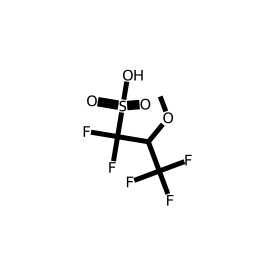 COC(C(F)(F)F)C(F)(F)S(=O)(=O)O